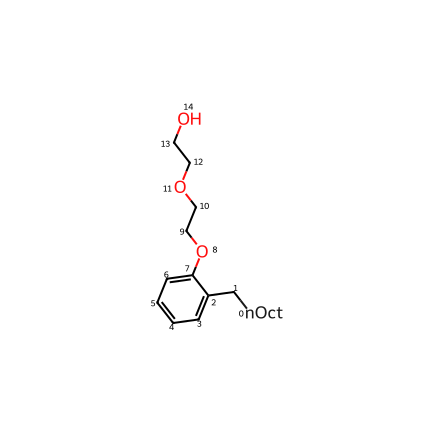 CCCCCCCCCc1ccccc1OCCOCCO